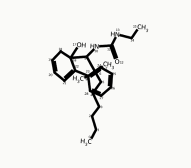 CCCCCCC(C)(C)C(NC(=O)NCC)C1(O)CC=CC=C1c1ccccc1